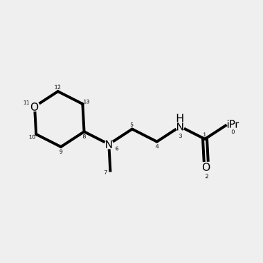 CC(C)C(=O)NCCN(C)C1CCOCC1